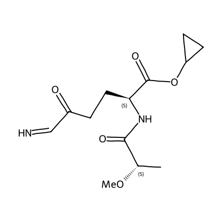 CO[C@@H](C)C(=O)N[C@@H](CCC(=O)C=N)C(=O)OC1CC1